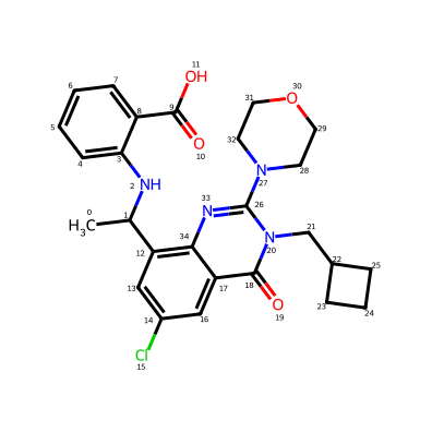 CC(Nc1ccccc1C(=O)O)c1cc(Cl)cc2c(=O)n(CC3CCC3)c(N3CCOCC3)nc12